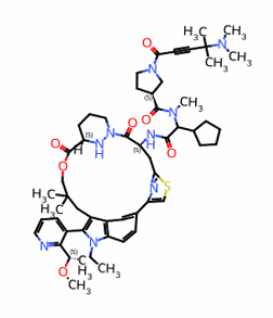 CCn1c(-c2cccnc2[C@H](C)OC)c2c3cc(ccc31)-c1csc(n1)C[C@H](NC(=O)C(C1CCCC1)N(C)C(=O)[C@H]1CCN(C(=O)C#CC(C)(C)N(C)C)C1)C(=O)N1CCC[C@H](N1)C(=O)OCC(C)(C)C2